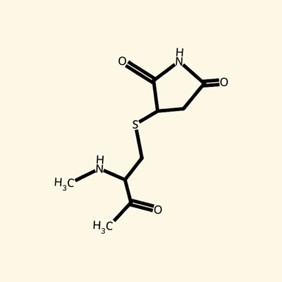 CNC(CSC1CC(=O)NC1=O)C(C)=O